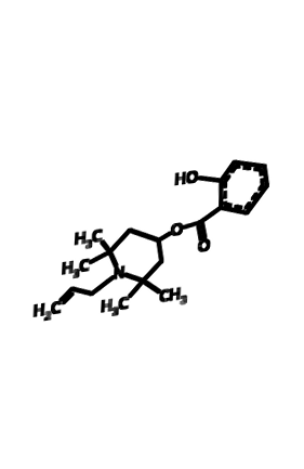 C=CCN1C(C)(C)CC(OC(=O)c2ccccc2O)CC1(C)C